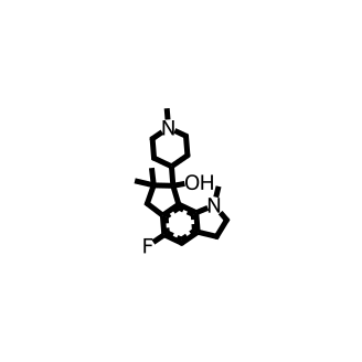 CN1CCC(C2(O)c3c(c(F)cc4c3N(C)CC4)CC2(C)C)CC1